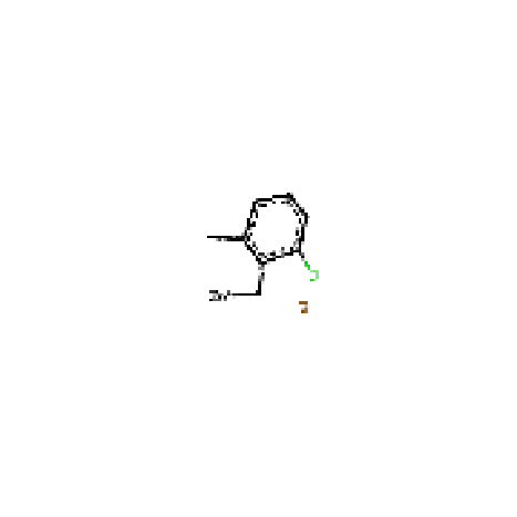 Cc1cccc(Cl)c1[CH2][Zn+].[Br-]